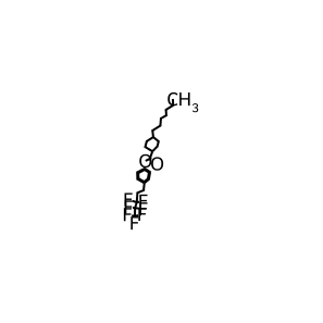 CCCCCCCC1CCC(C(=O)Oc2ccc(CCC(F)(F)C(F)(F)C(F)(F)F)cc2)CC1